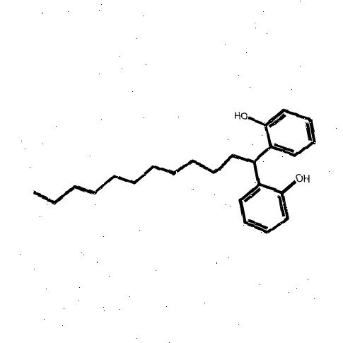 CCCCCCCCCCCC(c1ccccc1O)c1ccccc1O